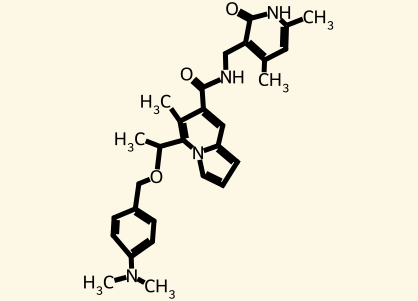 Cc1cc(C)c(CNC(=O)c2cc3cccn3c(C(C)OCc3ccc(N(C)C)cc3)c2C)c(=O)[nH]1